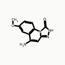 COc1ccc2c(c1)c(N)cc1n[nH]c(=O)n12